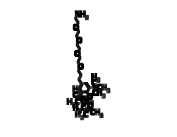 CC(C)(C)OC(=O)Oc1c(C(C)(C)C)cc(CCCOCCOCCOCCOCCN)cc1C(C)(C)C